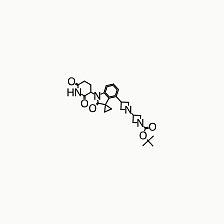 CC(C)(C)OC(=O)N1CC(N2CC(c3cccc4c3C3(CC3)C(=O)N4C3CCC(=O)NC3=O)C2)C1